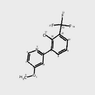 COc1ccnc(-c2cccc(C(F)(F)F)c2Cl)c1